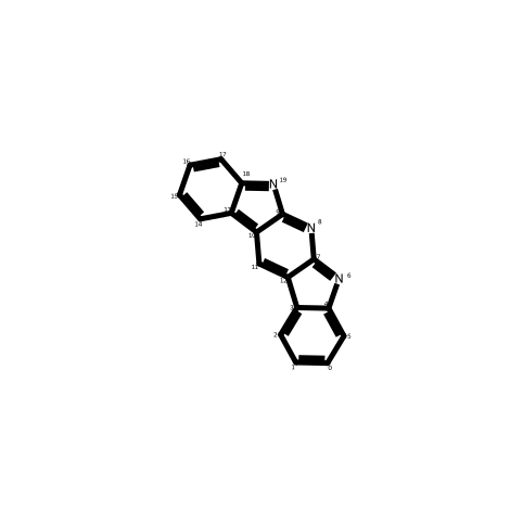 c1ccc2c(c1)N=c1nc3c(cc1-2)=c1ccccc1=N3